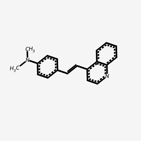 CN(C)c1ccc(C=Cc2ccnc3ccccc23)cc1